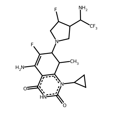 CC1c2c(c(=O)[nH]c(=O)n2C2CC2)C(N)=C(F)C1N1CC(F)C(C(N)C(F)(F)F)C1